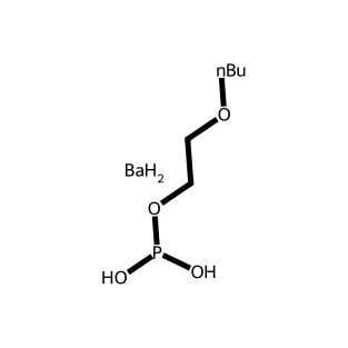 CCCCOCCOP(O)O.[BaH2]